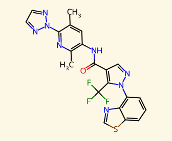 Cc1cc(NC(=O)c2cnn(-c3cccc4scnc34)c2C(F)(F)F)c(C)nc1-n1nccn1